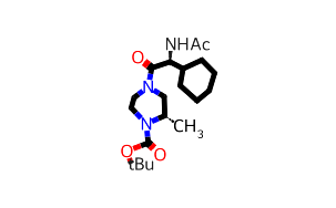 CC(=O)N[C@H](C(=O)N1CCN(C(=O)OC(C)(C)C)[C@@H](C)C1)C1CCCCC1